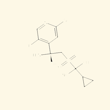 CC(C#N)(C1CC1)S(=O)(=O)C[C@](C)(N)c1cc(Br)ncc1F